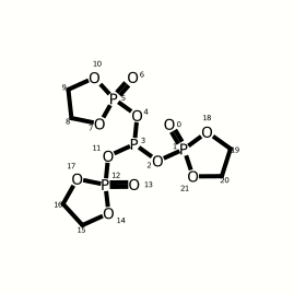 O=P1(OP(OP2(=O)OCCO2)OP2(=O)OCCO2)OCCO1